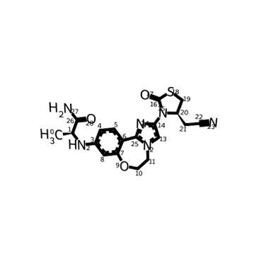 C[C@H](Nc1ccc2c(c1)OCCn1cc(N3C(=O)SC[C@H]3CC#N)nc1-2)C(N)=O